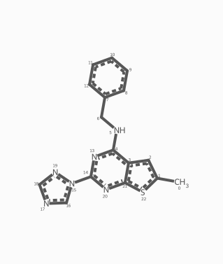 Cc1cc2c(NCc3ccccc3)nc(-n3cncn3)nc2s1